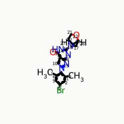 Cc1cc(Br)cc(C)c1-n1cc2c(=O)[nH]c(N3C[C@H]4C[C@@H]3CO4)nc2n1